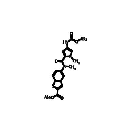 COC(=O)c1cc2cc(N(C)C(=O)c3cc(NC(=O)OC(C)(C)C)cn3C)ccc2s1